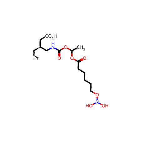 CC(C)C[C@H](CNC(=O)OC(C)OC(=O)CCCCCON(O)O)CC(=O)O